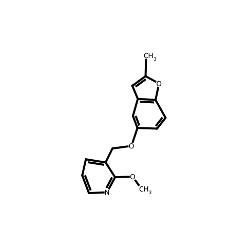 COc1ncccc1COc1ccc2oc(C)cc2c1